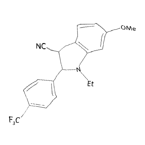 CCN1c2cc(OC)ccc2C(C#N)C1c1ccc(C(F)(F)F)cc1